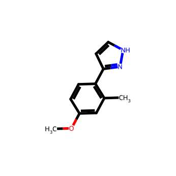 COc1ccc(-c2cc[nH]n2)c(C)c1